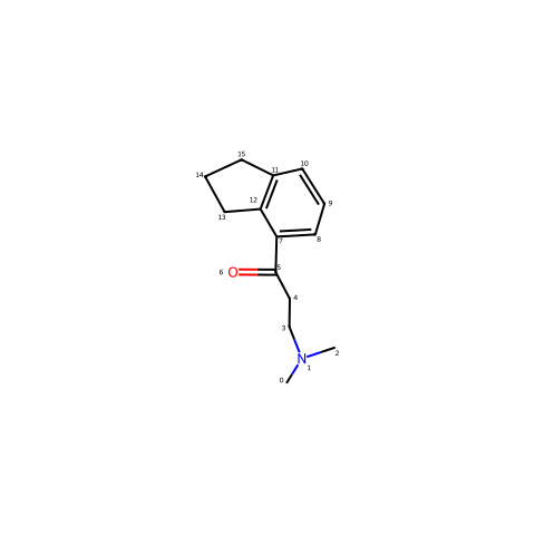 CN(C)CCC(=O)c1cccc2c1CCC2